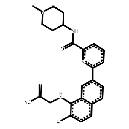 C=C(C#N)CNc1c(Cl)ccc2ccc(-c3cccc(C(=O)NC4CCN(C)CC4)n3)cc12